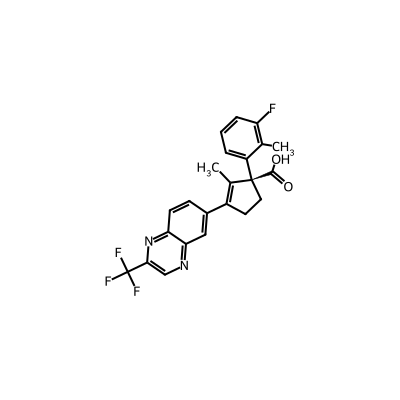 CC1=C(c2ccc3nc(C(F)(F)F)cnc3c2)CC[C@@]1(C(=O)O)c1cccc(F)c1C